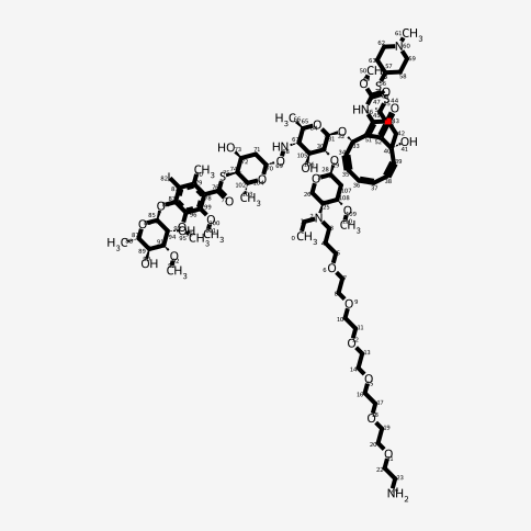 CCN(CCCOCCOCCOCCOCCOCCOCCN)[C@H]1CO[C@@H](O[C@H]2[C@H](O[C@H]3C#CC=CC#C[C@]4(O)CC(=O)C(NC(=O)OC)=C3/C4=C\CSSC3CCN(C)CC3)O[C@H](C)[C@@H](NO[C@H]3C[C@H](O)[C@H](SC(=O)c4c(C)c(I)c(O[C@@H]5O[C@@H](C)[C@H](O)[C@@H](OC)[C@H]5O)c(OC)c4OC)[C@@H](C)O3)[C@@H]2O)C[C@@H]1OC